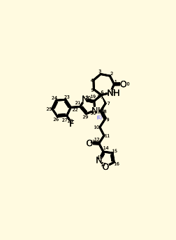 O=C1CCCC[C@@](C/C=C/CCC(=O)c2ccon2)(c2nc(-c3ccccc3F)c[nH]2)N1